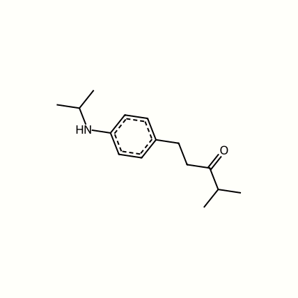 CC(C)Nc1ccc(CCC(=O)C(C)C)cc1